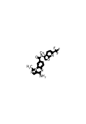 Cc1ncc2c(N)nc3ccc(C(=O)N(C)[C@@H]4COc5nc(C(F)(F)F)ccc54)cc3n12